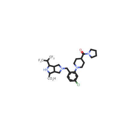 O=C(O)C1NC(C(C(F)(F)F)C(F)(F)F)C2CN(Cc3ccc(Cl)cc3N3CCC(C(=O)N4CCCC4)CC3)CC12